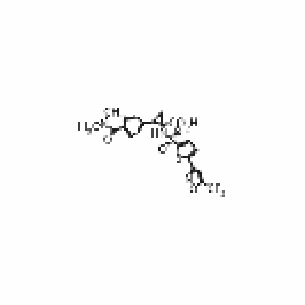 CN(C)C(=O)c1ccc(C2CC2(NS(=O)(=O)c2ccc(-c3cc(C(F)(F)F)on3)s2)C(=O)O)cc1